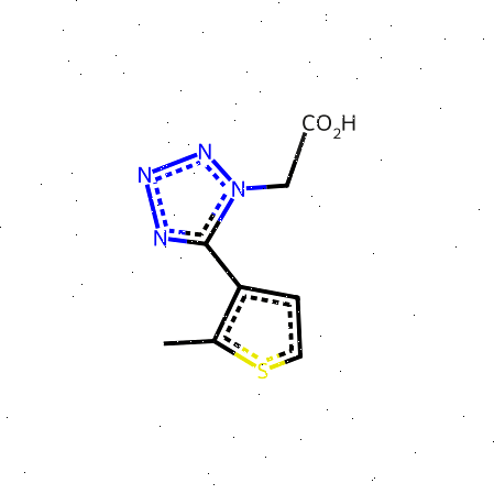 Cc1sccc1-c1nnnn1CC(=O)O